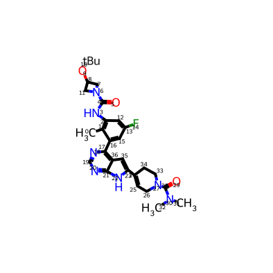 Cc1c(NC(=O)N2CC(OC(C)(C)C)C2)cc(F)cc1-c1ncnc2[nH]c(C3=CCN(C(=O)N(C)C)CC3)cc12